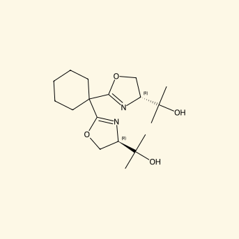 CC(C)(O)[C@H]1COC(C2(C3=N[C@@H](C(C)(C)O)CO3)CCCCC2)=N1